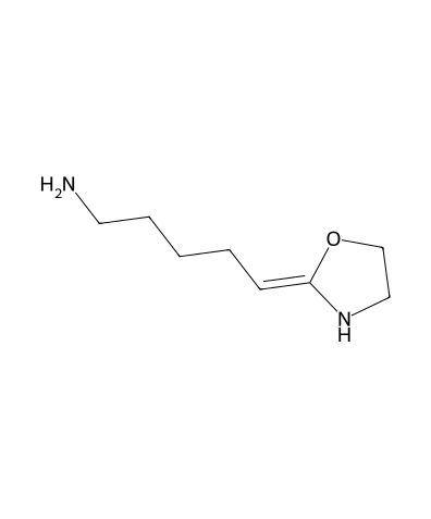 NCCCCC=C1NCCO1